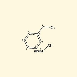 CCCCCCl.ClCc1ccccc1